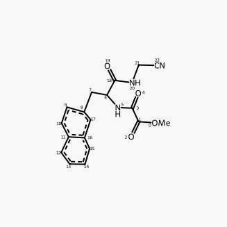 COC(=O)C(=O)NC(Cc1ccc2ccccc2c1)C(=O)NCC#N